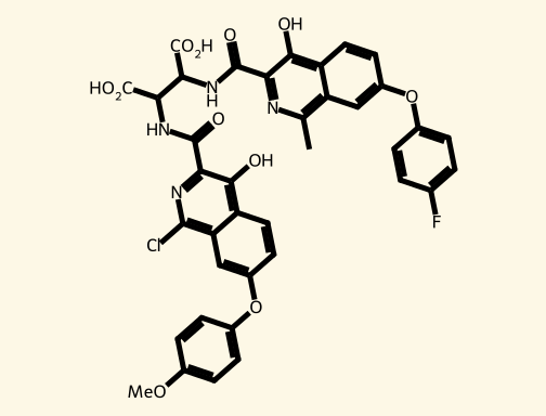 COc1ccc(Oc2ccc3c(O)c(C(=O)NC(C(=O)O)C(NC(=O)c4nc(C)c5cc(Oc6ccc(F)cc6)ccc5c4O)C(=O)O)nc(Cl)c3c2)cc1